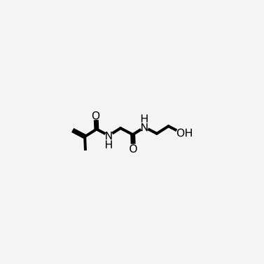 C=C(C)C(=O)NCC(=O)NCCO